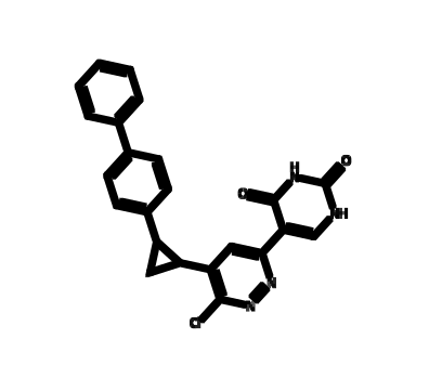 O=c1[nH]cc(-c2cc(C3CC3c3ccc(-c4ccccc4)cc3)c(Cl)nn2)c(=O)[nH]1